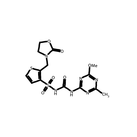 COc1nc(C)nc(NC(=O)NS(=O)(=O)c2ccsc2CN2CCOC2=O)n1